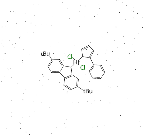 CC(C)(C)c1ccc2c(c1)[CH]([Hf]([Cl])([Cl])[CH]1C=CC=C1c1ccccc1)c1cc(C(C)(C)C)ccc1-2